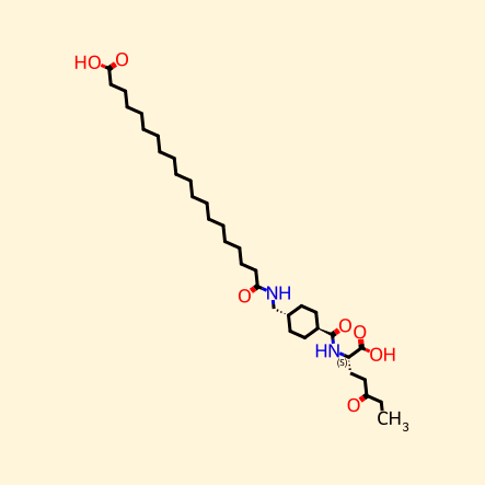 CCC(=O)CC[C@H](NC(=O)[C@H]1CC[C@H](CNC(=O)CCCCCCCCCCCCCCCCCCC(=O)O)CC1)C(=O)O